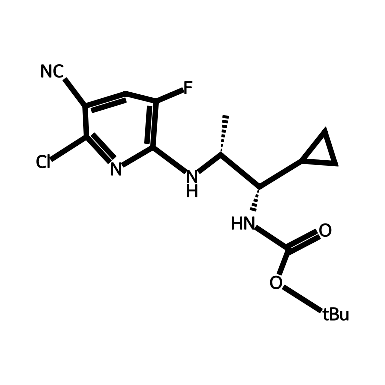 C[C@@H](Nc1nc(Cl)c(C#N)cc1F)[C@@H](NC(=O)OC(C)(C)C)C1CC1